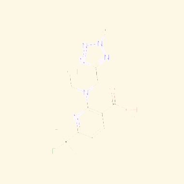 CCN(Cc1nnn(C)n1)c1nc(C(F)(F)F)ccc1C(=O)O